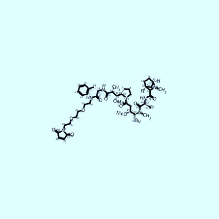 CC[C@H](C)[C@@H]([C@@H](CC(=O)N1CCC[C@H]1[C@H](OC)[C@@H](C)C(=O)N[C@@H](Cc1ccccc1)C(=O)NCCOCCOCCN1C(=O)C=CC1=O)OC)N(C)C(=O)[C@@H](NC(=O)C1[C@H]2CC[C@H](C2)N1C)C(C)C